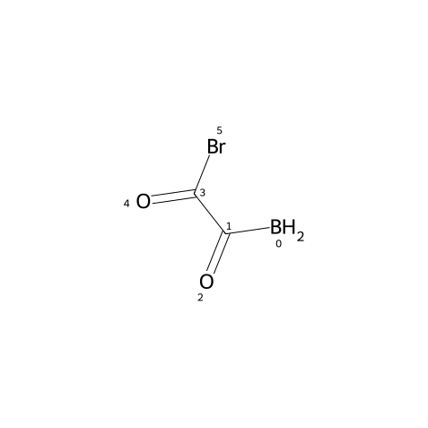 BC(=O)C(=O)Br